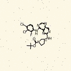 CC(C)(C)OC(=O)N1CC[C@H](Nc2ncc3ncnc(Nc4ccc(Cl)c(Cl)c4F)c3n2)C1